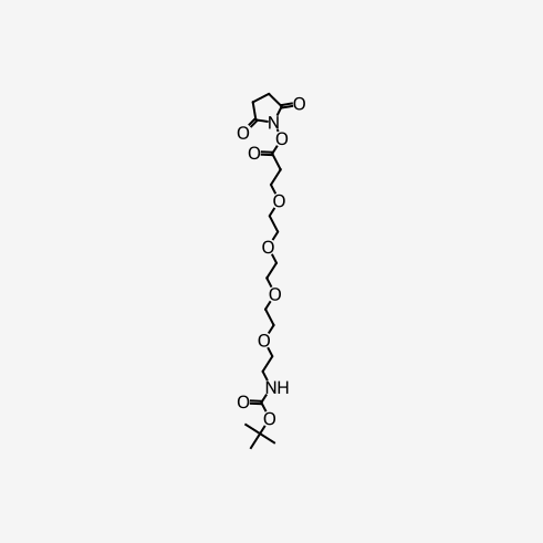 CC(C)(C)OC(=O)NCCOCCOCCOCCOCCC(=O)ON1C(=O)CCC1=O